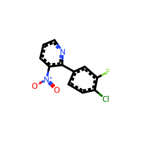 O=[N+]([O-])c1cccnc1-c1ccc(Cl)c(F)c1